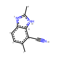 Cc1nc2ccc(C)c(C#N)c2[nH]1